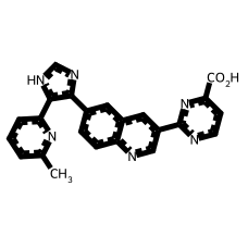 Cc1cccc(-c2[nH]cnc2-c2ccc3ncc(-c4nccc(C(=O)O)n4)cc3c2)n1